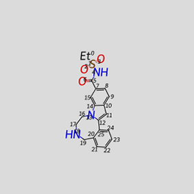 CCS(=O)(=O)NC(=O)c1ccc2cc3n(c2c1)CCNCc1ccccc1-3